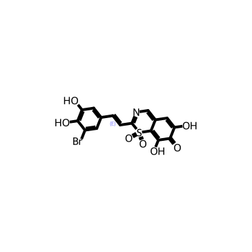 O=C1C(O)=CC2=CN=C(/C=C/c3cc(O)c(O)c(Br)c3)S(=O)(=O)C2=C1O